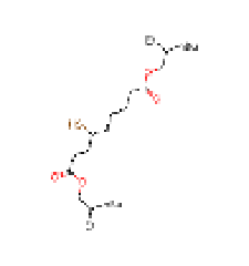 CCCCC(CC)COC(=O)CCCCC(S)CCC(=O)OCC(CC)CCCC